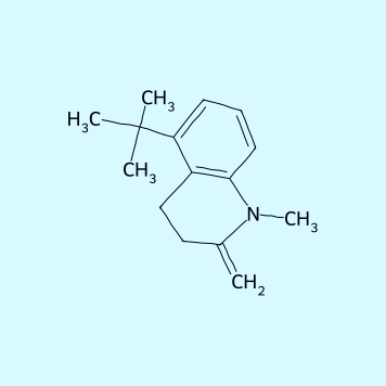 C=C1CCc2c(cccc2C(C)(C)C)N1C